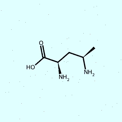 C[C@@H](N)C[C@@H](N)C(=O)O